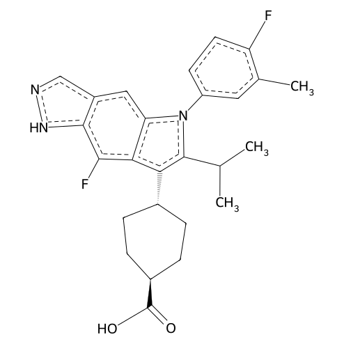 Cc1cc(-n2c(C(C)C)c([C@H]3CC[C@H](C(=O)O)CC3)c3c(F)c4[nH]ncc4cc32)ccc1F